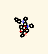 c1ccc(N(c2ccc3c(c2)C2(c4ccccc4O3)c3ccccc3-c3cccc4cccc2c34)c2ccc3c(c2)c2ccccc2n3-c2ccc3ccccc3c2)cc1